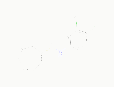 Clc1ccc(NSC2CCCCCC2)cc1Cl